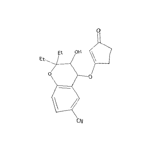 CCC1(CC)Oc2ccc(C#N)cc2C(OC2=CC(=O)CC2)C1O